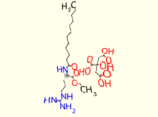 CCCCCCCCCCCC(=O)N[C@@H](CCCNC(=N)N)C(=O)OCC.O=C(O)CC(O)(CC(=O)O)C(=O)O